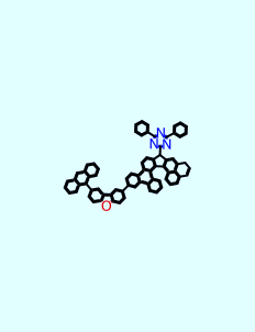 C1=Cc2cccc3c4c(cc(c23)C1)C(c1nc(-c2ccccc2)nc(-c2ccccc2)n1)c1ccc2c3ccc(-c5ccc6oc7ccc(-c8c9ccccc9cc9ccccc89)cc7c6c5)cc3c3ccccc3c2c1-4